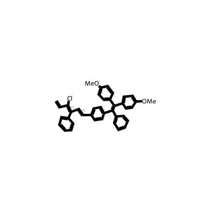 C=C/C(Cl)=C(/C=C/c1ccc(C(=C(c2ccc(OC)cc2)c2ccc(OC)cc2)c2ccccc2)cc1)c1ccccc1